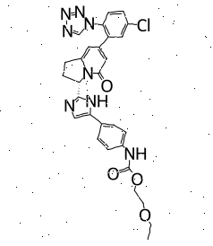 CCOCCOC(=O)Nc1ccc(-c2cnc([C@@H]3CCc4cc(-c5cc(Cl)ccc5-n5cnnn5)cc(=O)n43)[nH]2)cc1